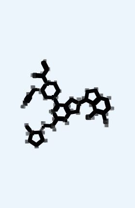 C=CC(=O)N1CCN(c2nc(OC[C@@H]3CCCN3C)nc3c2CN(C2CCc4ccc(Cl)c(Cl)c42)C3)C[C@@H]1CC#N